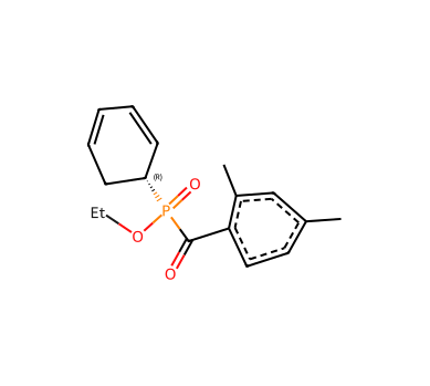 CCOP(=O)(C(=O)c1ccc(C)cc1C)[C@H]1C=CC=CC1